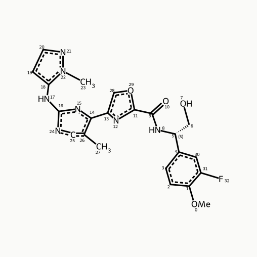 COc1ccc([C@@H](CO)NC(=O)c2nc(-c3nc(Nc4ccnn4C)ncc3C)co2)cc1F